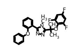 Cn1c(-c2ccccc2Oc2ccccc2)nnc1C(C)(C)Oc1c(F)cc(F)cc1F